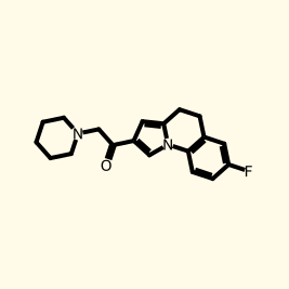 O=C(CN1CCCCC1)c1cc2n(c1)-c1ccc(F)cc1CC2